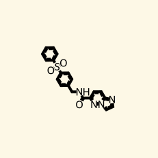 O=C(NCc1ccc(S(=O)(=O)c2ccccc2)cc1)c1ccc2nccn2n1